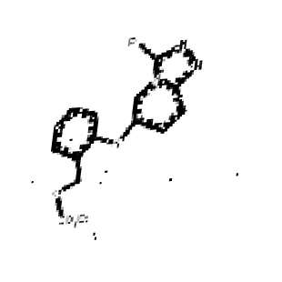 CCOC(=O)OCc1ccccc1Sc1ccc2nnc(C(C)C)n2c1